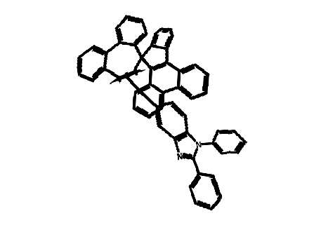 c1ccc(-c2nc3cc(-c4ccc5c(c4)C4(c6ccccc6-c6ccccc6-5)c5ccccc5-c5c4c4ccccc4c4ccccc54)ccc3n2-c2ccccc2)cc1